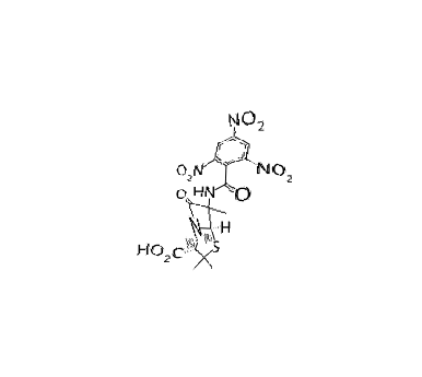 CC1(C)S[C@H]2N(C(=O)C2(C)NC(=O)c2c([N+](=O)[O-])cc([N+](=O)[O-])cc2[N+](=O)[O-])[C@H]1C(=O)O